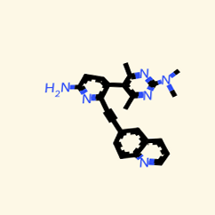 Cc1nc(N(C)C)nc(C)c1-c1ccc(N)nc1C#Cc1ccc2ncccc2c1